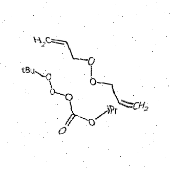 C=CCOOCC=C.CC(C)OC(=O)OOOC(C)(C)C